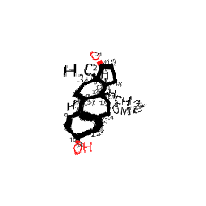 COC.C[C@]12CC[C@@H]3c4ccc(O)cc4CC[C@H]3[C@@H]1CCC2=O